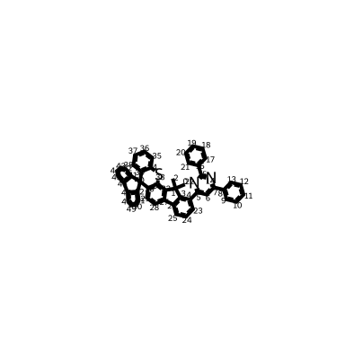 CC1(C)c2c(-c3cc(-c4ccccc4)nc(-c4ccccc4)n3)cccc2-c2ccc3c(c21)Sc1ccccc1C31c2ccccc2-c2ccccc21